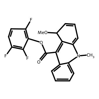 COC1C=CC=C2C1=C(C(=O)Oc1c(F)ccc(F)c1F)c1ccccc1N2C